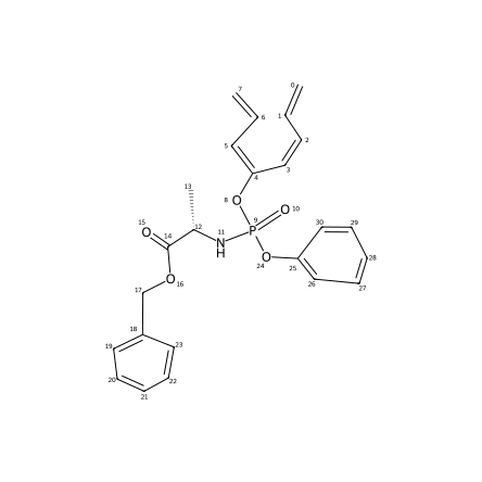 C=C/C=C\C(=C/C=C)OP(=O)(N[C@@H](C)C(=O)OCc1ccccc1)Oc1ccccc1